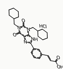 Cl.O=C(O)C=Cc1cccc(-c2nc3c(=O)n(CC4CCCCC4)c(=O)n(CC4CCCCC4)c3[nH]2)c1